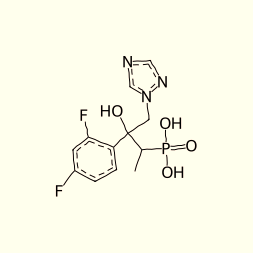 CC(C(O)(Cn1cncn1)c1ccc(F)cc1F)P(=O)(O)O